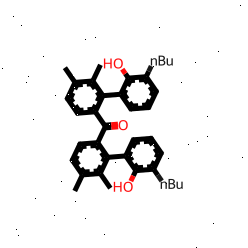 CCCCc1cccc(-c2c(C(=O)c3ccc(C)c(C)c3-c3cccc(CCCC)c3O)ccc(C)c2C)c1O